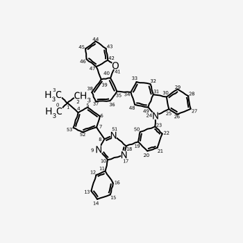 CC(C)(C)c1ccc(-c2nc(-c3ccccc3)nc(-c3cccc(-n4c5ccccc5c5ccc(-c6cccc7c6oc6ccccc67)cc54)c3)n2)cc1